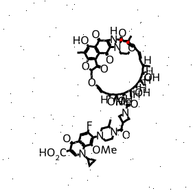 COc1c(N2CCN(C(=O)C3CN(C(=O)O[C@H]4[C@H](C)[C@H](O)[C@H](C)[C@@H](O)[C@@H](C)/C=C/C=C(/C)C(=O)NC5=C(N6CCOCC6)C(=O)c6c(c(O)c(C)c7c6C(=O)[C@@](C)(O/C=C/[C@H](OC)[C@H]4C)O7)C5=O)C3)C(C)C2)c(F)cc2c(=O)c(C(=O)O)cn(C3CC3)c12